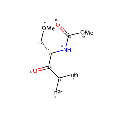 CCCC(CCC)C(=O)[C@H](COC)NC(=O)OC